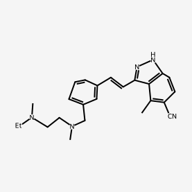 CCN(C)CCN(C)Cc1cccc(/C=C/c2n[nH]c3ccc(C#N)c(C)c23)c1